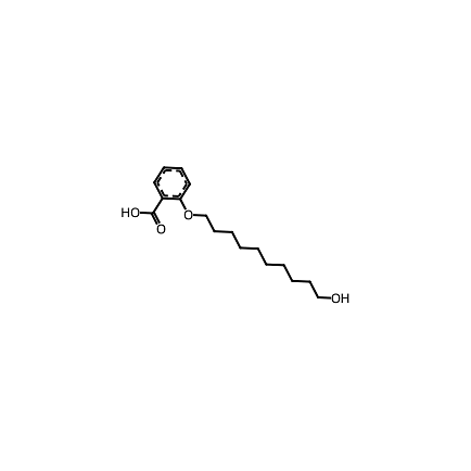 O=C(O)c1ccccc1OCCCCCCCCCCO